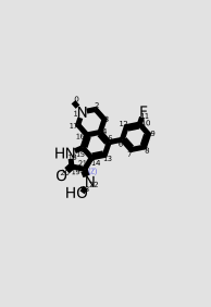 CN1CCc2c(-c3cccc(F)c3)cc3c(c2C1)NC(=O)/C3=N\O